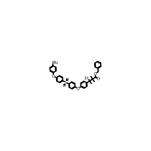 CCC(C)(c1ccc(Oc2ccc(S(=O)(=O)c3ccc(Oc4ccc(C(C)(C)C)cc4)cc3)cc2)cc1)C(C)(C)C(=O)OCc1ccccc1